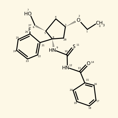 CCO[C@H]1C[C@@H](CO)[C@](NC(=S)NC(=O)c2ccccc2)(c2ccccc2F)C1